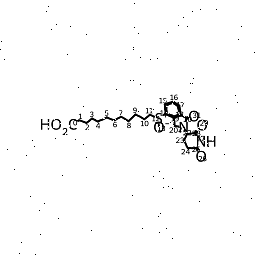 O=C(O)CCCCCCCCCCC[S+]([O-])c1cccc2c1CN(C1CCC(=O)NC1=O)C2=O